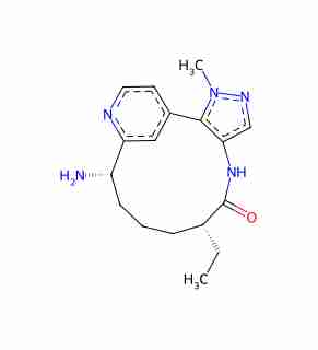 CC[C@@H]1CCC[C@H](N)c2cc(ccn2)-c2c(cnn2C)NC1=O